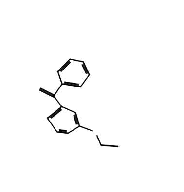 CCSc1cccc(C(=O)c2ccccc2)c1